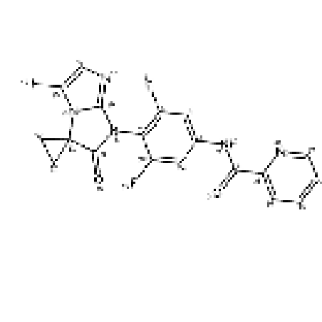 O=C(Nc1cc(F)c(N2C(=O)C3(CC3)n3c(I)cnc32)c(F)c1)c1ccccn1